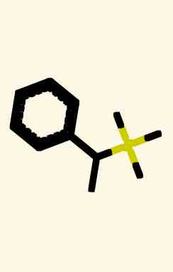 CC(c1ccccc1)S(C)(C)C